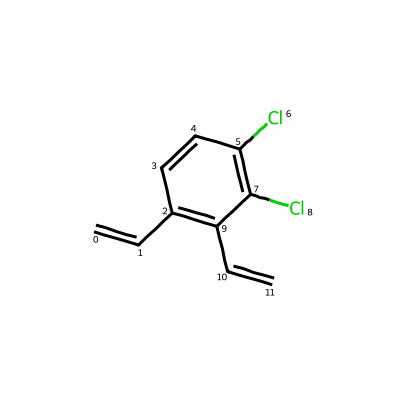 C=Cc1ccc(Cl)c(Cl)c1C=C